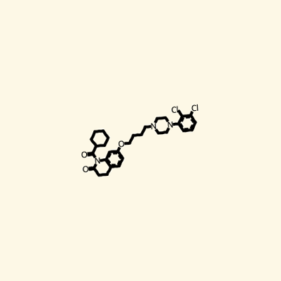 O=C1CCc2ccc(OCCCCN3CCN(c4cccc(Cl)c4Cl)CC3)cc2N1C(=O)C1CCCCC1